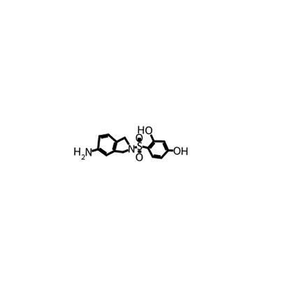 Nc1ccc2c(c1)CN(S(=O)(=O)c1ccc(O)cc1O)C2